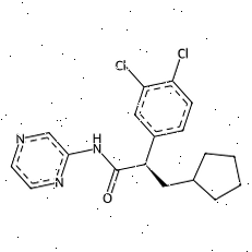 O=C(Nc1cnccn1)[C@H](CC1CCCC1)c1ccc(Cl)c(Cl)c1